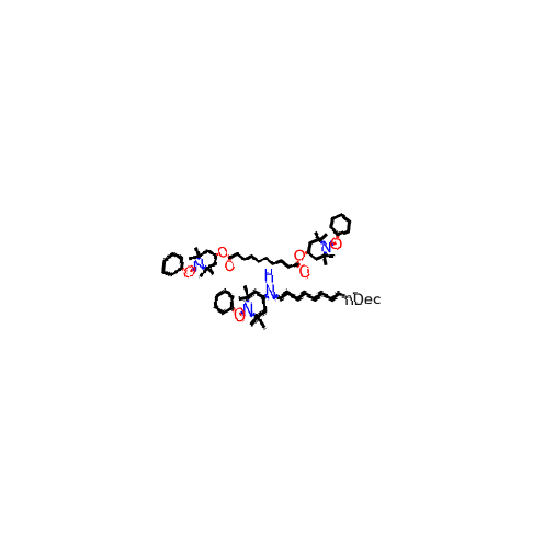 CC1(C)CC(OC(=O)CCCCCCCCC(=O)OC2CC(C)(C)N(OC3CCCCC3)C(C)(C)C2)CC(C)(C)N1OC1CCCCC1.CCCCCCCCCCCCCCCCCCNC1CC(C)(C)N(OC2CCCCC2)C(C)(C)C1